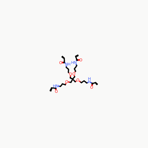 C=CC(=O)NCCCOCC(COCCCNC(=O)C=C)(COCCCNC(=O)C=C)COCCCNC(=O)C=C